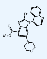 CCc1nc2c(C(=O)OC)cc(N3CCOCC3)cc2n1-c1ccnc2ccccc12